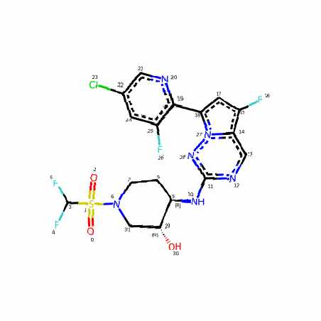 O=S(=O)(C(F)F)N1CC[C@@H](Nc2ncc3c(F)cc(-c4ncc(Cl)cc4F)n3n2)[C@H](O)C1